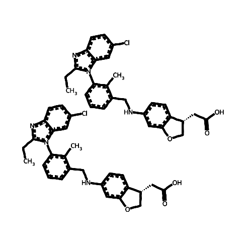 CCc1nc2ccc(Cl)cc2n1-c1cccc(CNc2ccc3c(c2)OC[C@H]3CC(=O)O)c1C.CCc1nc2ccc(Cl)cc2n1-c1cccc(CNc2ccc3c(c2)OC[C@H]3CC(=O)O)c1C